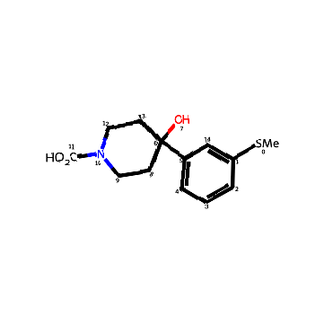 CSc1cccc(C2(O)CCN(C(=O)O)CC2)c1